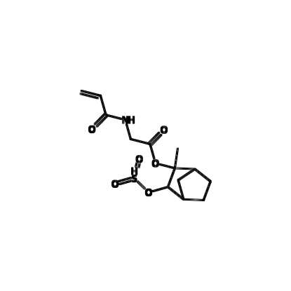 C=CC(=O)NCC(=O)OC1(C)C2CCC(C2)C1O[SH](=O)=O